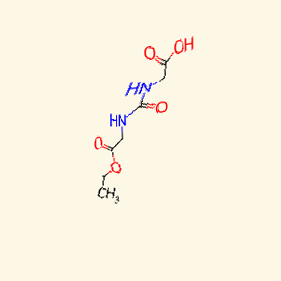 CCOC(=O)CNC(=O)NCC(=O)O